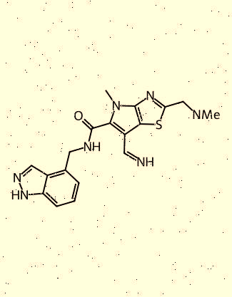 CNCc1nc2c(s1)c(C=N)c(C(=O)NCc1cccc3[nH]ncc13)n2C